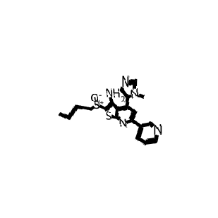 CCCC[S@@+]([O-])c1sc2nc(-c3cccnc3)cc(-c3cncn3C)c2c1N